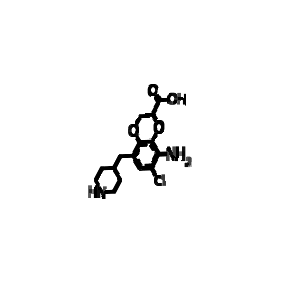 Nc1c(Cl)cc(CC2CCNCC2)c2c1OC(C(=O)O)CO2